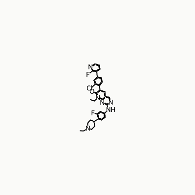 CCN1CCC(c2ccc(Nc3ncc4cc(-c5ccc(-c6cccnc6F)cc5Cl)c(=O)n(CC)c4n3)cc2F)CC1